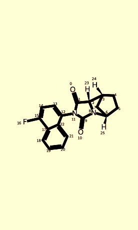 O=C1[C@@H]2[C@@H]3CC[C@@H](C3)N2C(=O)N1c1ccc(F)c2ccccc12